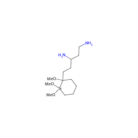 COC1(CCC(N)CCN)CCCC[Si]1(OC)OC